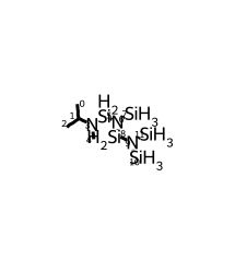 CC(C)N(C)[SiH2]N([SiH3])[SiH2]N([SiH3])[SiH3]